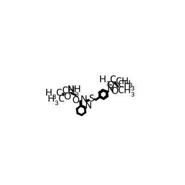 CC(C)(C)OC(=N)COc1nc(SCc2ccc(N3OC(C)(C)C(C)(C)O3)cc2)nc2c1CCCC2